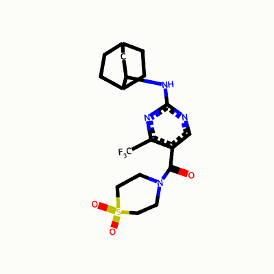 O=C(c1cnc(NC2CC3CCC2CC3)nc1C(F)(F)F)N1CCS(=O)(=O)CC1